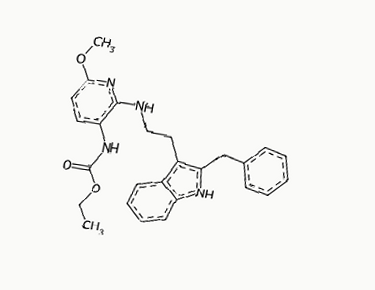 CCOC(=O)Nc1ccc(OC)nc1NCCc1c(Cc2ccccc2)[nH]c2ccccc12